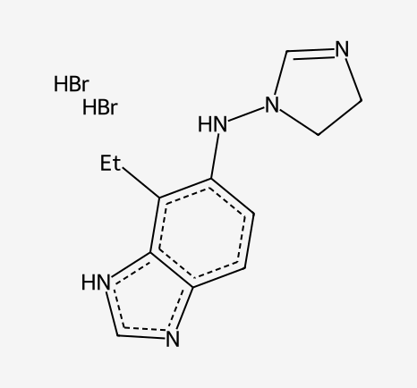 Br.Br.CCc1c(NN2C=NCC2)ccc2nc[nH]c12